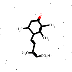 CC1=C(C)C(/C=C/C(C)=C\C(=O)O)C(C)CC1=O